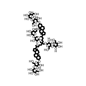 CC(CCCC(CCCC(C)C1CCC2C3CCC4CC(O[C@@H]5OC(CO)[C@@H](O[C@H]6OC(CO)[C@@H](O)C(O)[C@@H]6O)C(O)[C@@H]5O)CCC4(C)C3CCC12C)(CO[C@H]1OC[C@H](O[C@@H]2OC(CO)[C@H](O)C(O)[C@H]2O)C(O)[C@H]1O)CO[C@@H]1OC(CO)[C@@H](O[C@H]2OC(CO)[C@@H](O)C(O)[C@@H]2O)C(O)[C@@H]1O)C1CCC2C3CCC4CC(O[C@H]5OC(CO)[C@H](O[C@@H]6OC(CO)[C@H](O)C(O)[C@H]6O)C(O)[C@H]5O)CCC4(C)C3CCC12C